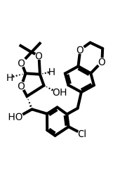 CC1(C)O[C@@H]2O[C@@H](C(O)c3ccc(Cl)c(Cc4ccc5c(c4)OCCO5)c3)[C@@H](O)[C@@H]2O1